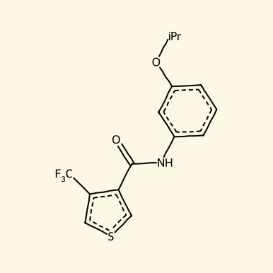 CC(C)Oc1cccc(NC(=O)c2cscc2C(F)(F)F)c1